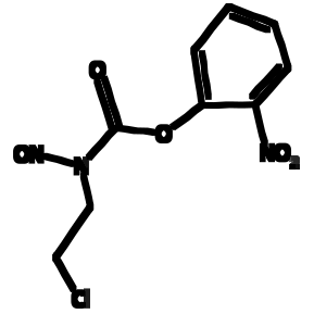 O=NN(CCCl)C(=O)Oc1ccccc1[N+](=O)[O-]